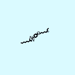 CCCCCCc1cnc(-c2ccc(OCCCCC[C@@H](C)CC)cc2)nc1